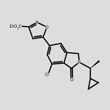 CCOC(=O)c1cc(-c2cc(Cl)c3c(c2)CN([C@@H](C)C2CC2)C3=O)on1